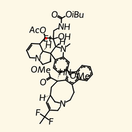 CC[C@]12C=CCN3CC[C@@]4(c5cc([C@@]6(C(=O)OC)C[C@@H]7C=C(C(C)(F)F)CN(CCc8c6[nH]c6ccccc86)C7)c(OC)cc5N(C)[C@H]4C(O)(CNC(=O)OCC(C)C)[C@@H]1OC(C)=O)[C@@H]32